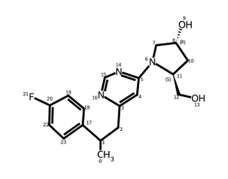 CC(Cc1cc(N2C[C@H](O)C[C@H]2CO)ncn1)c1ccc(F)cc1